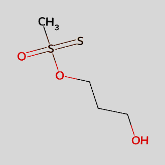 CS(=O)(=S)OCCCO